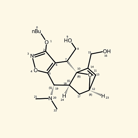 CCCCOc1noc2c1C(CO)[C@@]13O[C@@H](C=C1CO)C[C@H]3[C@@H]2N(C)C